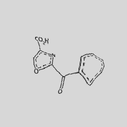 O=C(O)c1coc(C(=O)c2ccccc2)n1